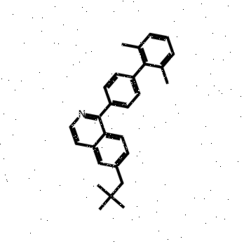 Cc1cccc(C)c1-c1ccc(-c2nccc3cc(CC(C)(C)C)ccc23)cc1